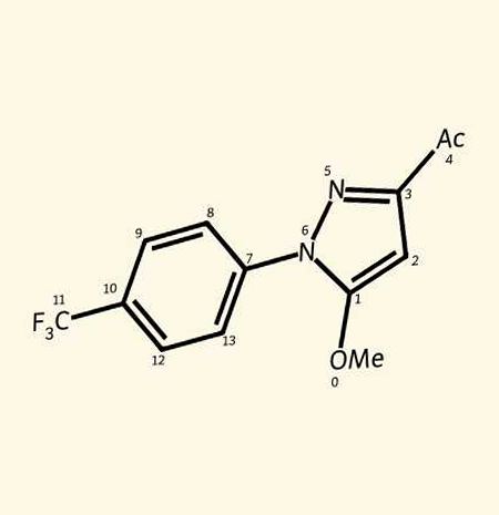 COc1cc(C(C)=O)nn1-c1ccc(C(F)(F)F)cc1